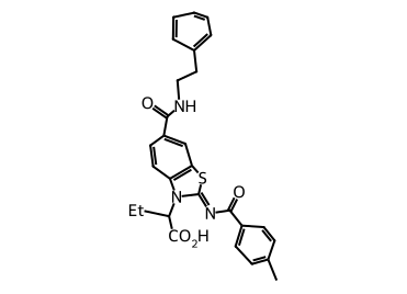 CCC(C(=O)O)n1c(=NC(=O)c2ccc(C)cc2)sc2cc(C(=O)NCCc3ccccc3)ccc21